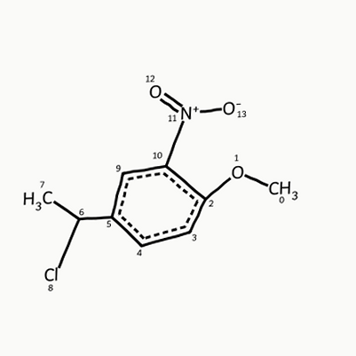 COc1ccc(C(C)Cl)cc1[N+](=O)[O-]